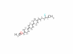 CCC(F)CCC=C[C@H]1CC[C@H]([C@H]2CC[C@H]([C@H]3CC[C@H](COC)CC3)CC2)CC1